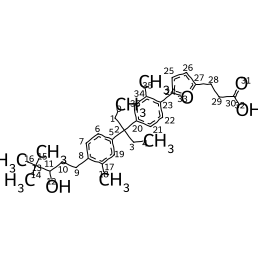 CCC(CC)(c1ccc(CCC(O)C(C)(C)C)c(C)c1)c1ccc(-c2ccc(CCC(=O)O)o2)c(C)c1